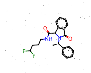 C[C@H](c1ccccc1)N1C(=O)c2ccccc2C1C(=O)NCCCC(F)F